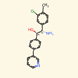 Cc1ccc([C@H](N)[C@H](O)c2ccc(-c3cccnc3)cc2)cc1Cl